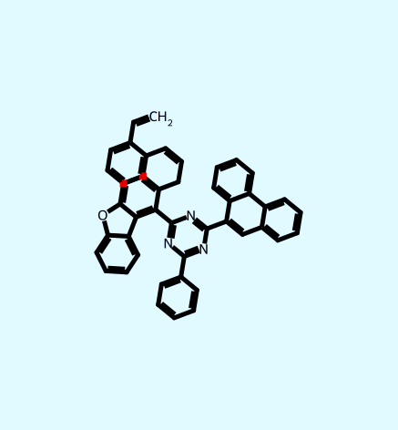 C=Cc1ccccc1/C=C\Cc1ccc2oc3ccccc3c2c1-c1nc(-c2ccccc2)nc(-c2cc3ccccc3c3ccccc23)n1